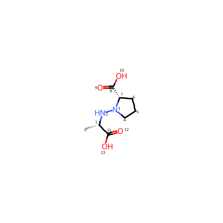 C[C@H](NN1CCC[C@H]1C(=O)O)C(=O)O